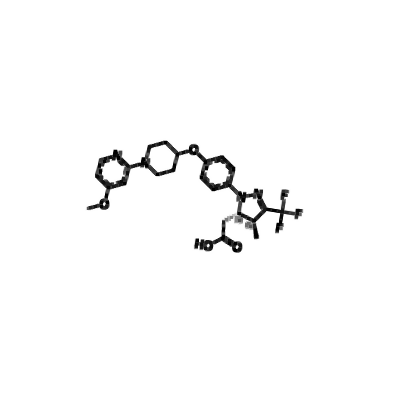 COc1ccnc(N2CCC(Oc3ccc(N4N=C(C(F)(F)F)[C@@H](C)[C@@H]4CC(=O)O)cc3)CC2)c1